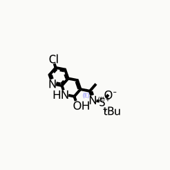 C/C(=N\[S@+]([O-])C(C)(C)C)C1=Cc2cc(Cl)cnc2NC1O